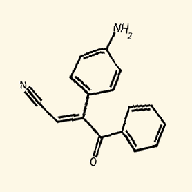 N#CC=C(C(=O)c1ccccc1)c1ccc(N)cc1